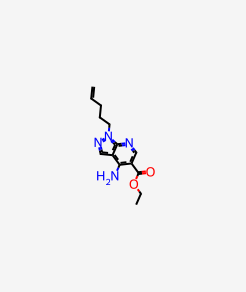 C=CCCCn1ncc2c(N)c(C(=O)OCC)cnc21